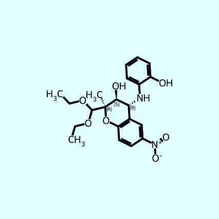 CCOC(OCC)[C@]1(C)Oc2ccc([N+](=O)[O-])cc2[C@@H](Nc2ccccc2O)[C@@H]1O